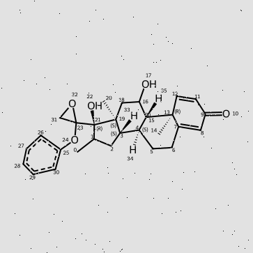 CC1C[C@H]2[C@@H]3CCC4=CC(=O)C=C[C@]4(C)[C@H]3C(O)C[C@]2(C)[C@@]1(O)C1(Oc2ccccc2)CO1